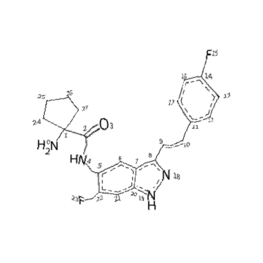 NC1(C(=O)Nc2cc3c(/C=C/c4ccc(F)cc4)n[nH]c3cc2F)CCCC1